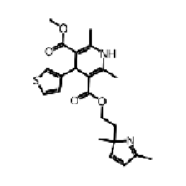 COC(=O)C1=C(C)NC(C)=C(C(=O)OCCC2(C)C=CC(C)=N2)C1c1ccsc1